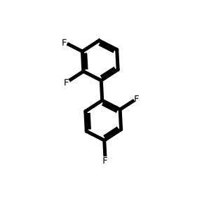 Fc1ccc(-c2cc[c]c(F)c2F)c(F)c1